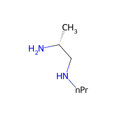 CCCNC[C@@H](C)N